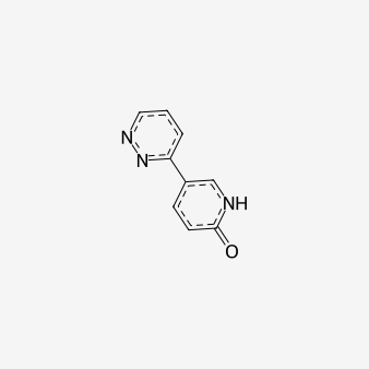 O=c1ccc(-c2cccnn2)c[nH]1